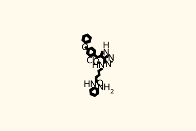 Nc1ccccc1NC(=O)CCCCNc1ncnc2[nH]cc(C(=O)c3ccc(Oc4ccccc4)cc3Cl)c12